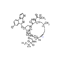 CC[C@@H]1C[C@@H](C)CC/C=C\[C@@H]2C[C@@]2(C(=O)NS(=O)(=O)C2(C)CC2)NC(=O)[C@@H]2C[C@@H](Oc3nc4nccn4c4ccc(Cl)cc34)CN2C(=O)[C@H]1NC(=O)O